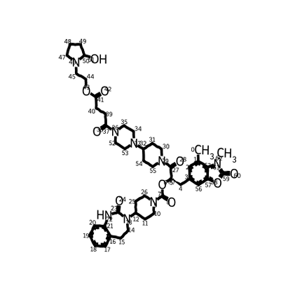 Cc1cc(C[C@@H](OC(=O)N2CCC(N3CCc4ccccc4NC3=O)CC2)C(=O)N2CCC(N3CCN(C(=O)CCC(=O)OCCN4CCCC4O)CC3)CC2)cc2oc(=O)n(C)c12